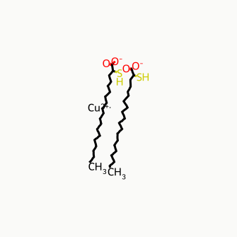 CCCCCCCCCCCCCCCCCCC(S)C(=O)[O-].CCCCCCCCCCCCCCCCCCC(S)C(=O)[O-].[Cu+2]